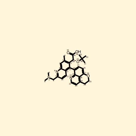 Cc1cc2nc(CN(C)C)ccc2c(-c2ccc3c4c(ccnc24)CCO3)c1[C@@H](OC(C)(C)C)C(=O)O